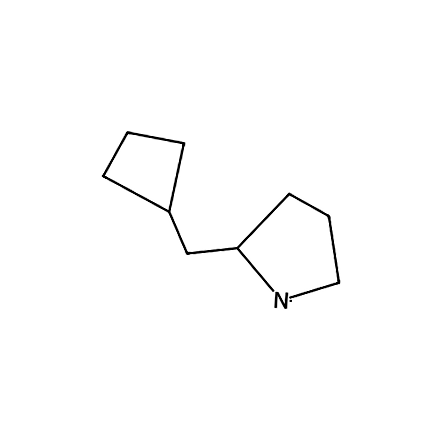 C1CC(CC2CCC[N]2)C1